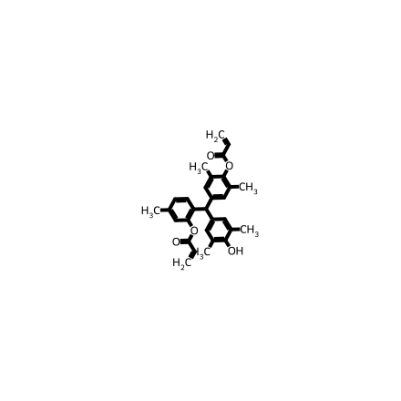 C=CC(=O)Oc1cc(C)ccc1C(c1cc(C)c(O)c(C)c1)c1cc(C)c(OC(=O)C=C)c(C)c1